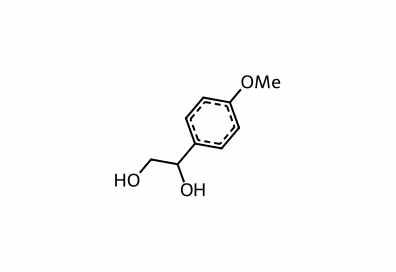 COc1ccc(C(O)CO)cc1